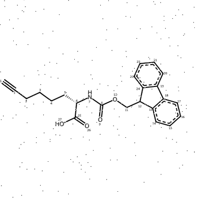 C#CCCCC[C@H](NC(=O)OCC1c2ccccc2-c2ccccc21)C(=O)O